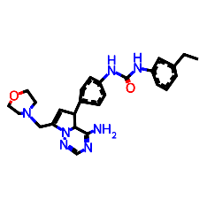 CCc1cccc(NC(=O)Nc2ccc(C3C=C(CN4CCOCC4)N4N=CN=C(N)C34)cc2)c1